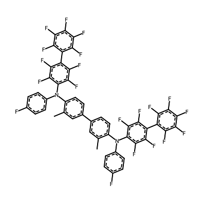 Cc1cc(-c2ccc(N(c3ccc(F)cc3)c3c(F)c(F)c(-c4c(F)c(F)c(F)c(F)c4F)c(F)c3F)c(C)c2)ccc1N(c1ccc(F)cc1)c1c(F)c(F)c(-c2c(F)c(F)c(F)c(F)c2F)c(F)c1F